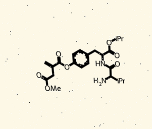 C=C(CC(=O)OC)C(=O)Oc1ccc(CC(NC(=O)C(N)C(C)C)C(=O)OC(C)C)cc1